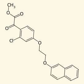 COC(=O)C(=O)c1ccc(OCCOc2ccc3ccccc3c2)cc1Cl